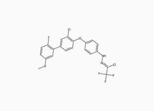 COc1ccc(F)c(-c2ccc(Oc3ccc(NN=C(Cl)C(F)(F)F)cc3)c(Cl)c2)c1